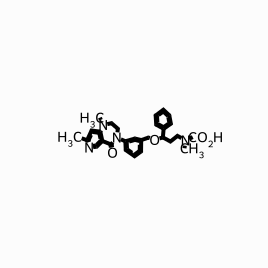 Cc1cc2c(cn1)C(=O)N(c1cccc(COC(CCN(C)C(=O)O)c3ccccc3)c1)CCN2C